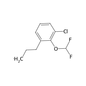 [CH2]CCc1cccc(Cl)c1OC(F)F